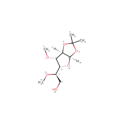 CO[C@@H]1[C@H]2OC(C)(C)O[C@H]2O[C@@H]1[C@@H](CO)OC